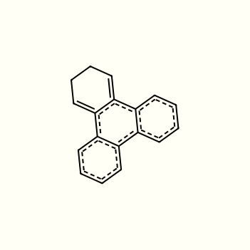 C1=c2c(c3ccccc3c3ccccc23)=CCC1